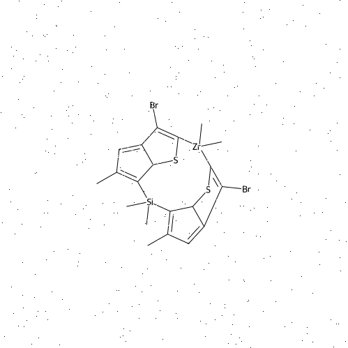 CC1=C2C3S[C](=C(Br)C3=C1)[Zr]([CH3])([CH3])[C]1=C(Br)C3=CC(C)=C(C3S1)[Si]2(C)C